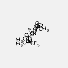 Cc1cc(C(F)(F)F)nn1C(C)C(=O)Nc1cnc(-n2cnc(C3(C)CCCS3(=O)=O)c2)c(F)c1